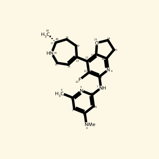 CNc1cc(C)nc(Nc2nc3c(c(C4=CCN[C@H](C)CC4)c2F)OCC3)c1